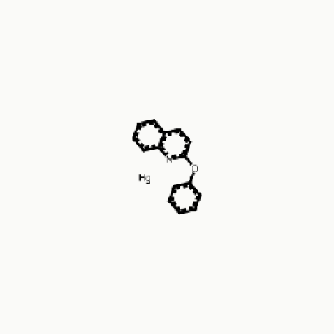 [Hg].c1ccc(Oc2ccc3ccccc3n2)cc1